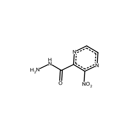 NNC(=O)c1nccnc1[N+](=O)[O-]